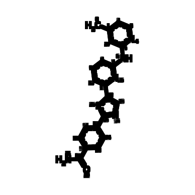 Cc1ccnc(Nc2cccc(-c3cnc(-c4ccc(C(N)=O)cc4)s3)n2)c1